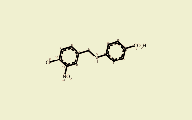 O=C(O)c1ccc(NCc2ccc(Cl)c([N+](=O)[O-])c2)cc1